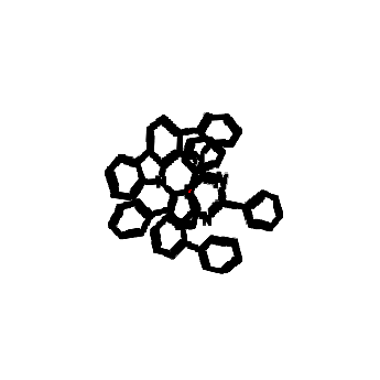 c1ccc(-c2nc(-c3ccccc3-c3ccccc3)nc(-n3c4ccccc4c4ccc5c6ccccc6n(-c6c(-c7ccccc7)cccc6-c6ccccc6)c5c43)n2)cc1